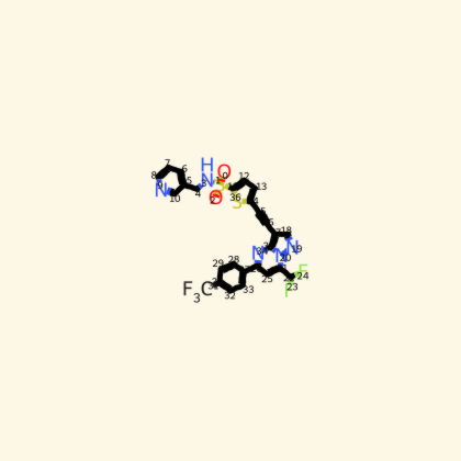 O=S(=O)(NCc1cccnc1)c1ccc(C#Cc2cnn3c(C(F)F)cc(-c4ccc(C(F)(F)F)cc4)nc23)s1